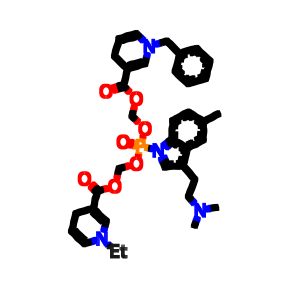 CCN1C=CCC(C(=O)OCOP(=O)(OCOC(=O)C2=CN(Cc3ccccc3)C=CC2)n2cc(CCN(C)C)c3cc(C)ccc32)=C1